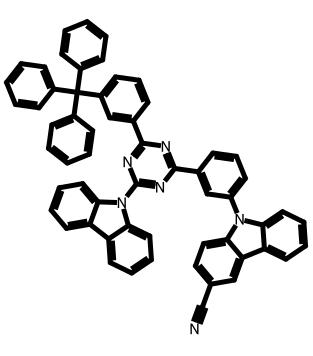 N#Cc1ccc2c(c1)c1ccccc1n2-c1cccc(-c2nc(-c3cccc(C(c4ccccc4)(c4ccccc4)c4ccccc4)c3)nc(-n3c4ccccc4c4ccccc43)n2)c1